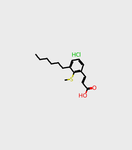 CCCCCCc1cccc(C=CC(=O)O)c1SC.Cl